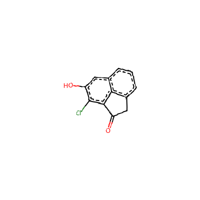 O=C1Cc2cccc3cc(O)c(Cl)c1c23